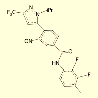 Cc1ccc(NC(=O)c2ccc(-c3cc(C(F)(F)F)nn3C(C)C)c(N=O)c2)c(F)c1F